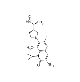 Cc1c(N2CC[C@@H]([C@H](C)NCl)C2)c(F)cc2cc(N)c(=O)n(C3CC3)c12